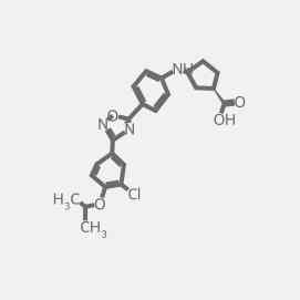 CC(C)Oc1ccc(-c2noc(-c3ccc(NC4CC[C@@H](C(=O)O)C4)cc3)n2)cc1Cl